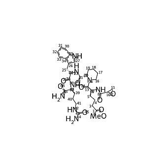 COC(=O)CCC[C@H](NC(=O)C1CO1)C(=O)N1CCCC[C@H]1C(=O)N[C@@H](Cc1c[nH]c2ccccc12)C(=O)N[C@@H](CCCNC(N)=O)C(N)=O